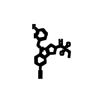 CCS(=O)(=O)NC1Cc2c(n(Cc3cccc(F)n3)c3ccc(C#N)cc23)C1